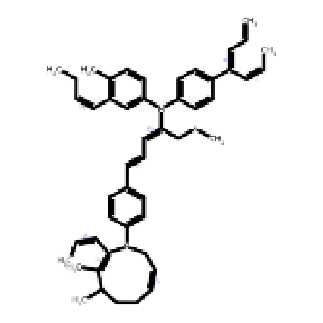 C=C/C=C(\C=C/C)c1ccc(N(/C(=C/C=C/c2ccc(N3C/C=C\CCC(C)/C(C)=C3/C=C\C)cc2)CSC)c2ccc(C)c(/C=C\CC)c2)cc1